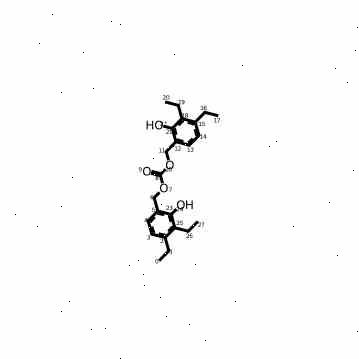 CCc1ccc(COC(=O)OCc2ccc(CC)c(CC)c2O)c(O)c1CC